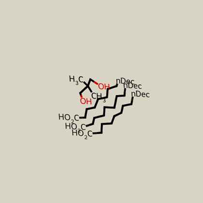 CC(C)(CO)CO.CCCCCCCCCCCCCCCCCC(=O)O.CCCCCCCCCCCCCCCCCC(=O)O.CCCCCCCCCCCCCCCCCC(=O)O